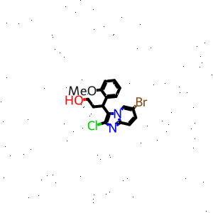 COc1ccccc1C(CCO)c1c(Cl)nc2ccc(Br)cn12